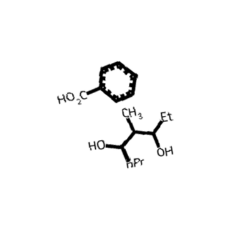 CCCC(O)C(C)C(O)CC.O=C(O)c1ccccc1